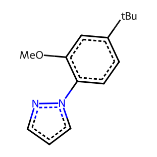 COc1cc(C(C)(C)C)ccc1-n1cccn1